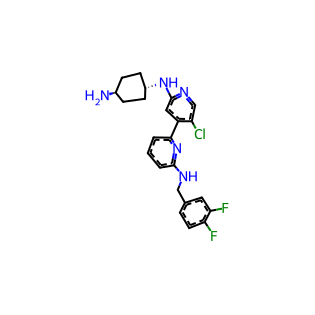 N[C@H]1CC[C@H](Nc2cc(-c3cccc(NCc4ccc(F)c(F)c4)n3)c(Cl)cn2)CC1